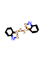 c1ccc2c(c1)=NSS=2SSS1=c2ccccc2=NS1